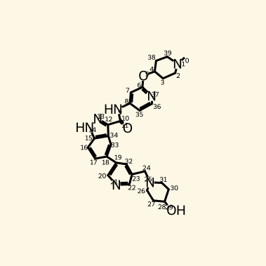 CN1CCC(Oc2cc(NC(=O)c3n[nH]c4ccc(-c5cncc(CN6CCC(O)CC6)c5)cc34)ccn2)CC1